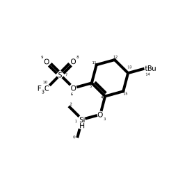 C[SiH](C)OC1=C(OS(=O)(=O)C(F)(F)F)CCC(C(C)(C)C)C1